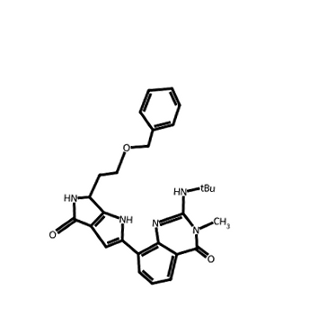 Cn1c(NC(C)(C)C)nc2c(-c3cc4c([nH]3)C(CCOCc3ccccc3)NC4=O)cccc2c1=O